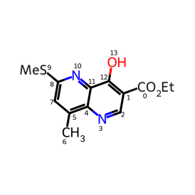 CCOC(=O)c1cnc2c(C)cc(SC)nc2c1O